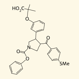 CSc1ccc(C(=O)C2CN(C(=O)Oc3ccccc3)CC2c2cccc(OC(C)(C)C(=O)O)c2)cc1